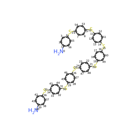 Nc1ccc(Sc2ccc(Sc3ccc(Sc4ccc(Sc5ccc(Sc6ccc(Sc7ccc(Sc8ccc(N)cc8)cc7)cc6)cc5)cc4)cc3)cc2)cc1